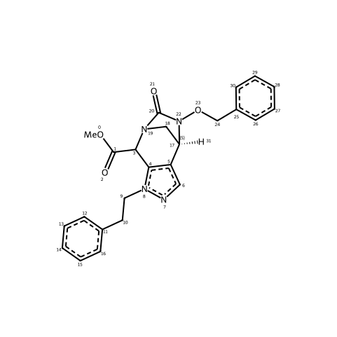 COC(=O)C1c2c(cnn2CCc2ccccc2)[C@H]2CN1C(=O)N2OCc1ccccc1